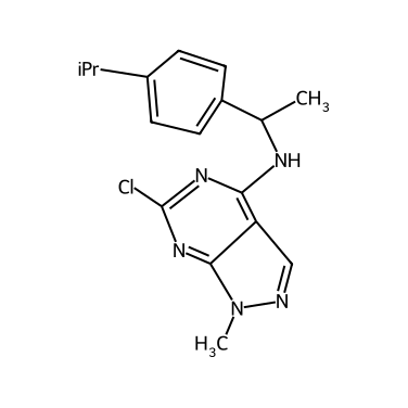 CC(C)c1ccc(C(C)Nc2nc(Cl)nc3c2cnn3C)cc1